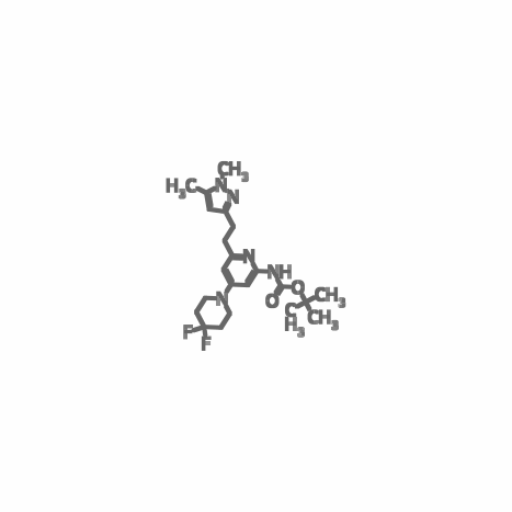 Cc1cc(CCc2cc(N3CCC(F)(F)CC3)cc(NC(=O)OC(C)(C)C)n2)nn1C